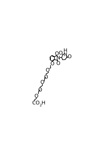 O=C(O)CCOCCOCCOCCOCCOCCOc1cccc2c1C(=O)N(C1CCC(=O)NC1=O)C2=O